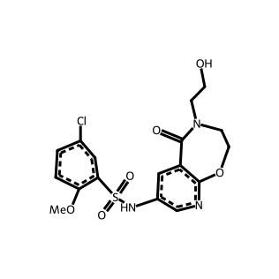 COc1ccc(Cl)cc1S(=O)(=O)Nc1cnc2c(c1)C(=O)N(CCO)CCO2